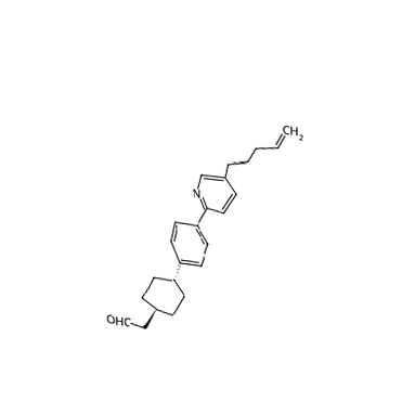 C=CCCCc1ccc(-c2ccc([C@H]3CC[C@H](CC=O)CC3)cc2)nc1